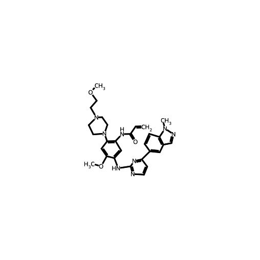 C=CC(=O)Nc1cc(Nc2nccc(-c3ccc4c(cnn4C)c3)n2)c(OC)cc1N1CCN(CCOC)CC1